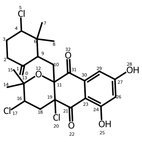 C=C1CCC(Cl)C(C)(C)C1CC12OC(C)(C)C(Cl)CC1(Cl)C(=O)c1c(O)cc(O)cc1C2=O